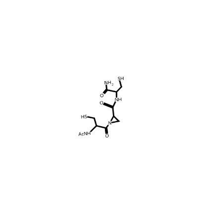 CC(=O)NC(CS)C(=O)N1CC1C(=O)NC(CS)C(N)=O